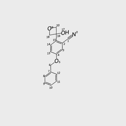 N#Cc1cc(OCc2ccccc2)ccc1C1(O)COC1